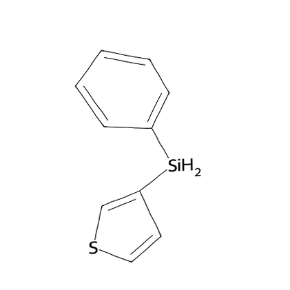 c1ccc([SiH2]c2ccsc2)cc1